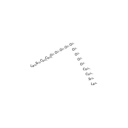 [Co+2].[Co+2].[Cu+2].[Cu+2].[La+3].[La+3].[O-2].[O-2].[O-2].[O-2].[O-2].[O-2].[O-2].[O-2].[O-2].[Sr+2].[Sr+2]